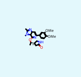 COc1ccc(C2=CC3N=C(C)N(C)C3C(OC(C)[C@H]3CNC(=O)C3)=N2)cc1OC